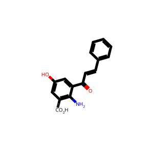 Nc1c(C(=O)O)cc(O)cc1C(=O)C=Cc1ccccc1